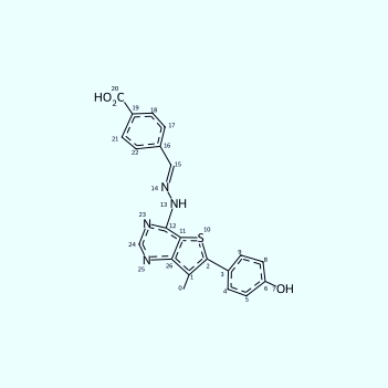 Cc1c(-c2ccc(O)cc2)sc2c(NN=Cc3ccc(C(=O)O)cc3)ncnc12